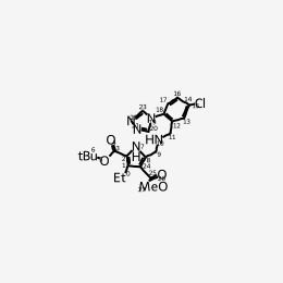 CCc1c(C(=O)OC(C)(C)C)[nH]c(CNCc2cc(Cl)ccc2-n2cnnc2)c1C(=O)OC